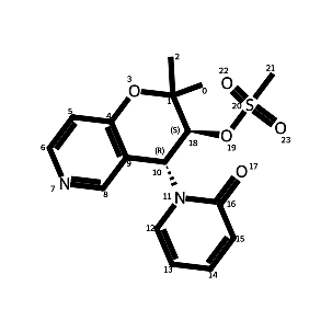 CC1(C)Oc2ccncc2[C@@H](n2ccccc2=O)[C@@H]1OS(C)(=O)=O